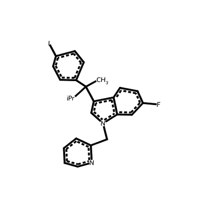 CC(C)C(C)(c1ccc(I)cc1)c1cn(Cc2ccccn2)c2cc(F)ccc12